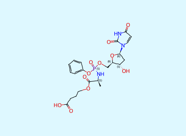 C[C@H](N[P@](=O)(OC[C@H]1O[C@@H](n2ccc(=O)[nH]c2=O)C[C@@H]1O)Oc1ccccc1)C(=O)OCCCC(=O)O